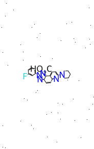 O=C(O)c1cc(N2CCCCC2)nc2ccc3nn(-c4cccc(F)c4)nc3c12